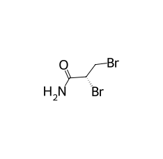 NC(=O)[C@@H](Br)CBr